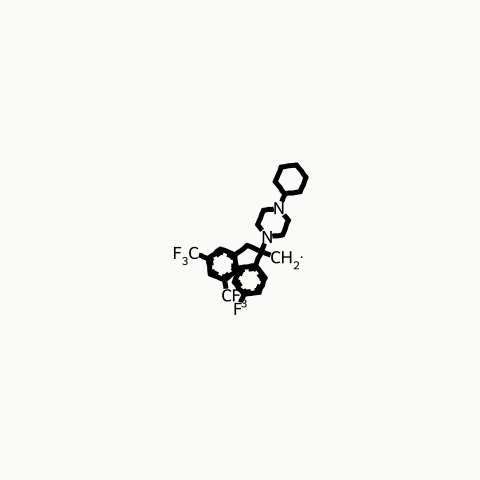 [CH2]C(Cc1cc(C(F)(F)F)cc(C(F)(F)F)c1)(c1ccc(F)cc1)N1CCN(C2CCCCC2)CC1